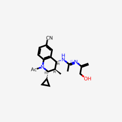 C=C(CO)/N=C(\C)N[C@H]1c2cc(C#N)ccc2N(C(C)=O)[C@@H](C2CC2)[C@@H]1C